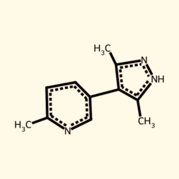 Cc1ccc(-c2c(C)n[nH]c2C)cn1